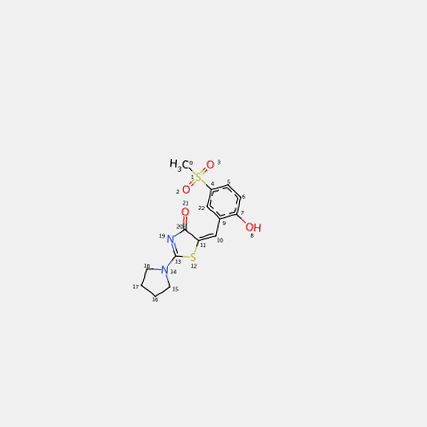 CS(=O)(=O)c1ccc(O)c(C=C2SC(N3CCCC3)=NC2=O)c1